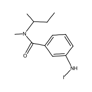 CCC(C)N(C)C(=O)c1cccc(NI)c1